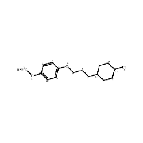 CCCCCOc1ccc(OCCCC2CCC(CC)CC2)cc1